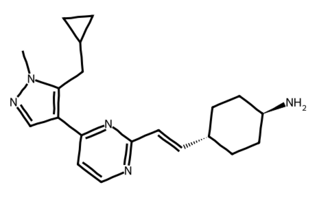 Cn1ncc(-c2ccnc(/C=C/[C@H]3CC[C@H](N)CC3)n2)c1CC1CC1